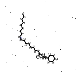 CCCCCCCC/C=C\CCCCCCCC(=O)ONC1CCCCC1